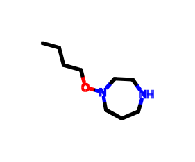 CCCCON1CCCNCC1